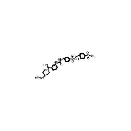 CCCCCCCN1CCN(C(=N)c2cccc(NC(=O)Nc3ccc(S(=O)(=O)NCc4ccc(S(N)(=O)=O)cc4)cc3)c2)CC1